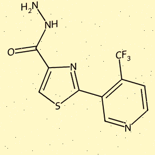 NNC(=O)c1csc(-c2cnccc2C(F)(F)F)n1